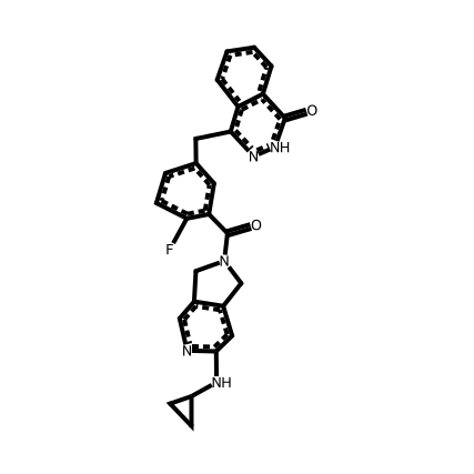 O=C(c1cc(Cc2n[nH]c(=O)c3ccccc23)ccc1F)N1Cc2cnc(NC3CC3)cc2C1